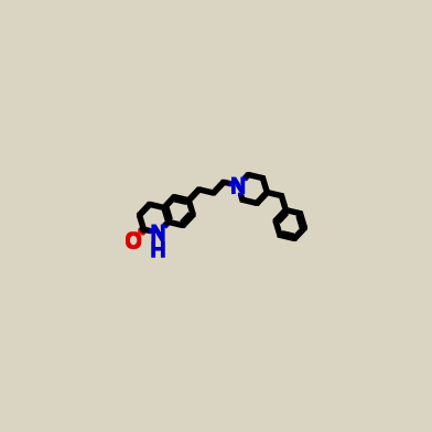 O=C1CCc2cc(CCCN3CCC(Cc4ccccc4)CC3)ccc2N1